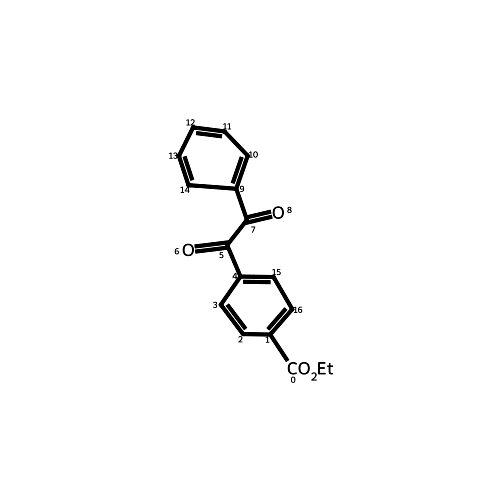 CCOC(=O)c1ccc(C(=O)C(=O)c2ccccc2)cc1